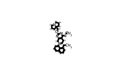 CCc1cccc2cccc(N3CCc4c(nc(OCC56CCCN5CCC6)nc4SC)C3)c12